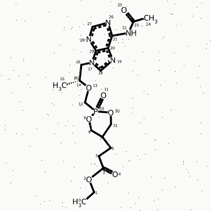 CCOC(=O)CCC1COP(=O)(CO[C@H](C)Cn2cnc3c(NC(C)=O)ncnc32)OC1